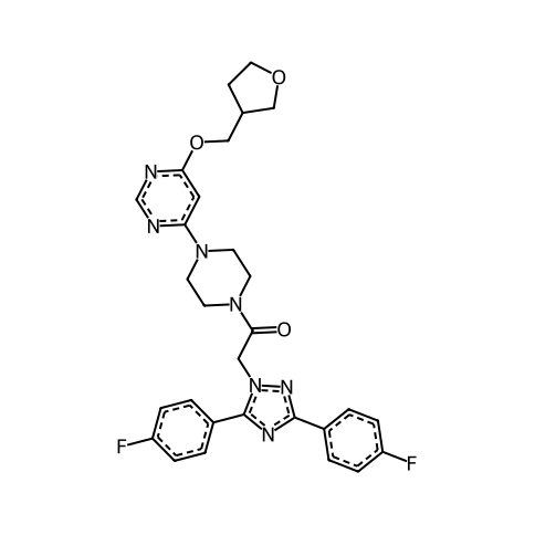 O=C(Cn1nc(-c2ccc(F)cc2)nc1-c1ccc(F)cc1)N1CCN(c2cc(OCC3CCOC3)ncn2)CC1